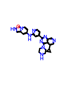 C1=CN2ONC=C2C=C1Nc1cc(-c2nc(N3CCNCC3)c3c(C4CC4)cncc3n2)ccn1